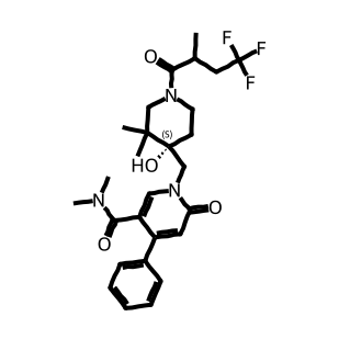 CC(CC(F)(F)F)C(=O)N1CC[C@@](O)(Cn2cc(C(=O)N(C)C)c(-c3ccccc3)cc2=O)C(C)(C)C1